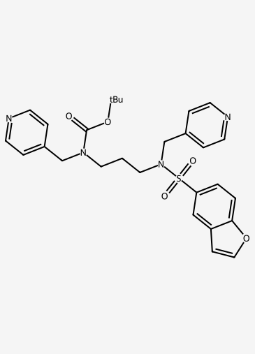 CC(C)(C)OC(=O)N(CCCN(Cc1ccncc1)S(=O)(=O)c1ccc2occc2c1)Cc1ccncc1